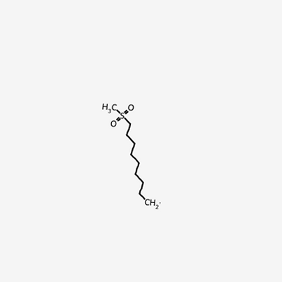 [CH2]CCCCCCCCS(C)(=O)=O